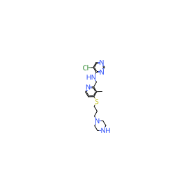 Cc1c(SCCCN2CCNCC2)ccnc1CNc1ncncc1Cl